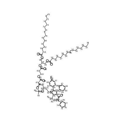 CCCCCCCCCCCCCCCC(=O)OCC(COC(=O)CCCCCCCCCCCCCCC)OC(=O)CCOC(=O)C[C@H]1C[C@@H](CCn2c(-c3ccc(F)cc3)c(-c3ccccc3)c(C(=O)Nc3ccccc3)c2C(C)C)OC(C)(C)O1